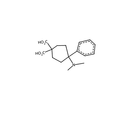 CN(C)C1(c2ccccc2)CCC(C(=O)O)(C(=O)O)CC1